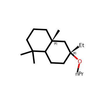 CCCO[C@]1(CC)CCC2C(C)(C)CCC[C@]2(C)C1